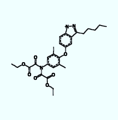 CCCCCC1=N[N]c2ccc(Oc3c(C)cc(N(C(=O)C(=O)OCC)C(=O)C(=O)OCC)cc3C)cc21